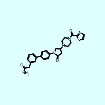 NC(=O)Cc1cccc(-c2ccc(N3CC(N4CCN(C(=O)c5nccs5)CC4)CC3=O)cc2)c1